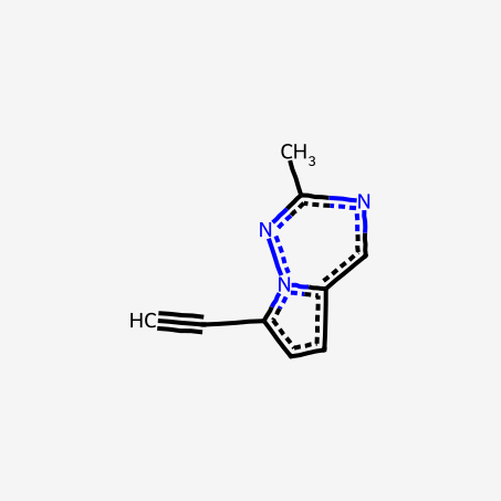 C#Cc1ccc2cnc(C)nn12